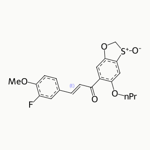 CCCOc1cc2c(cc1C(=O)/C=C/c1ccc(OC)c(F)c1)OC[S+]2[O-]